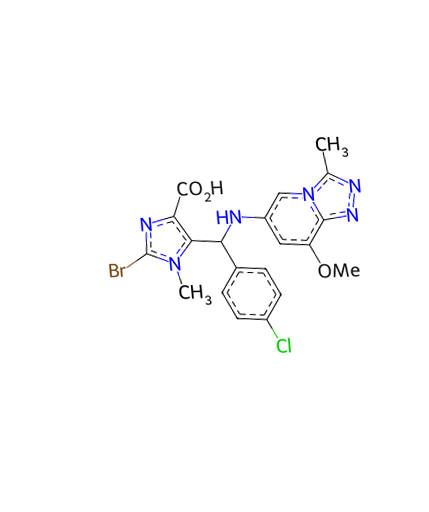 COc1cc(NC(c2ccc(Cl)cc2)c2c(C(=O)O)nc(Br)n2C)cn2c(C)nnc12